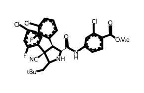 COC(=O)c1ccc(NC(=O)[C@@H]2NC(CC(C)(C)C)[C@](C#N)(c3ccc(Cl)cc3F)[C@H]2c2cccc(Cl)c2F)cc1Cl